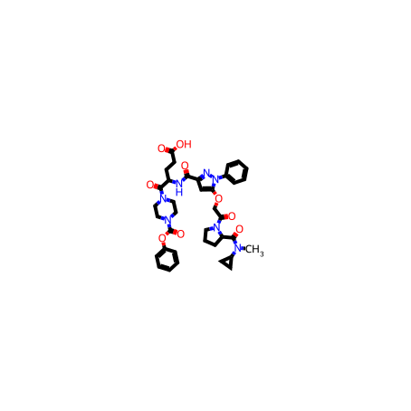 CN(C(=O)C1CCCN1C(=O)COc1cc(C(=O)NC(CCC(=O)O)C(=O)N2CCN(C(=O)Oc3ccccc3)CC2)nn1-c1ccccc1)C1CC1